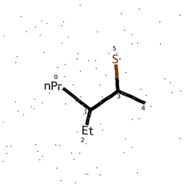 CCCC(CC)C(C)[S]